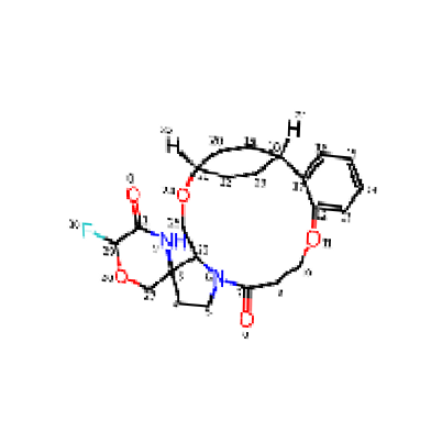 O=C1NC2(CCN3C(=O)CCOc4ccccc4[C@H]4CC[C@H](CC4)OCC32)COC1F